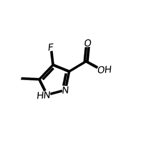 Cc1[nH]nc(C(=O)O)c1F